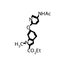 CCOC(=O)c1cc2ccc(Oc3ccc(NC(C)=O)cn3)cc2n1C